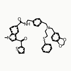 Cn1cc(C(=O)c2cccs2)c2cc(C(=O)NCc3ccc(CN(CCSc4ccccc4)Cc4ccc5c(c4)OCO5)cc3)ccc21